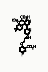 Cc1ncc(-c2ccc(NCCOc3ccc(F)cc3C(=O)O)cn2)c(N2CCC(C)(C)CC2)c1[C@H](OC(C)(C)C)C(=O)O